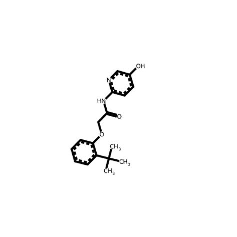 CC(C)(C)c1ccccc1OCC(=O)Nc1ccc(O)cn1